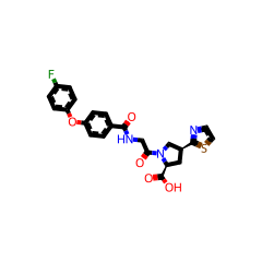 O=C(NCC(=O)N1C[C@@H](c2nccs2)C[C@H]1C(=O)O)c1ccc(Oc2ccc(F)cc2)cc1